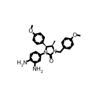 COc1ccc(CN2C(=O)N(c3ccc(N)c(N)c3)[C@@H](c3ccc(OC)cc3)[C@H]2C)cc1